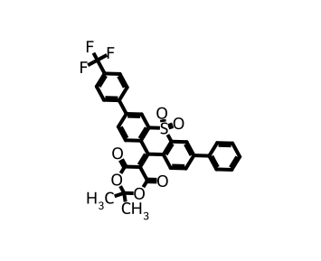 CC1(C)OC(=O)C(=C2c3ccc(-c4ccccc4)cc3S(=O)(=O)c3cc(-c4ccc(C(F)(F)F)cc4)ccc32)C(=O)O1